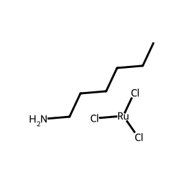 CCCCCCN.[Cl][Ru]([Cl])[Cl]